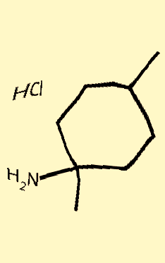 CC1CCC(C)(N)CC1.Cl